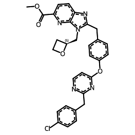 COC(=O)c1ccc2nc(Cc3ccc(Oc4ccnc(Cc5ccc(Cl)cc5)n4)cc3)n(C[C@@H]3CCO3)c2n1